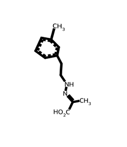 CC(=NNCCc1cccc(C)c1)C(=O)O